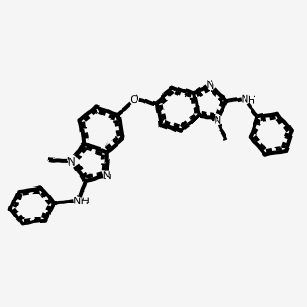 Cn1c(Nc2ccccc2)nc2cc(Oc3ccc4c(c3)nc(Nc3ccccc3)n4C)ccc21